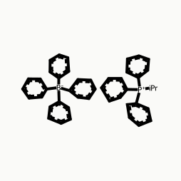 CC(C)[P+](c1ccccc1)(c1ccccc1)c1ccccc1.c1ccc([B-](c2ccccc2)(c2ccccc2)c2ccccc2)cc1